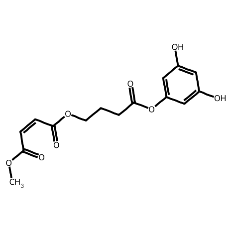 COC(=O)/C=C\C(=O)OCCCC(=O)Oc1cc(O)cc(O)c1